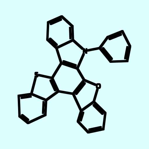 c1ccc(-n2c3ccccc3c3c4sc5ccccc5c4c4c5ccccc5oc4c32)cc1